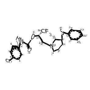 O=C(Nc1ccc(Cl)cc1)O[C@@H](CN1CCCC(Sc2ccccc2)C1)C(F)(F)F